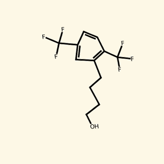 OCCCCc1cc(C(F)(F)F)ccc1C(F)(F)F